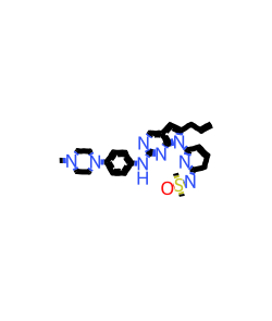 C=CCc1cc2cnc(Nc3ccc(N4CCN(C)CC4)cc3)nc2n1C1=NC(N=S(C)(C)=O)CC=C1